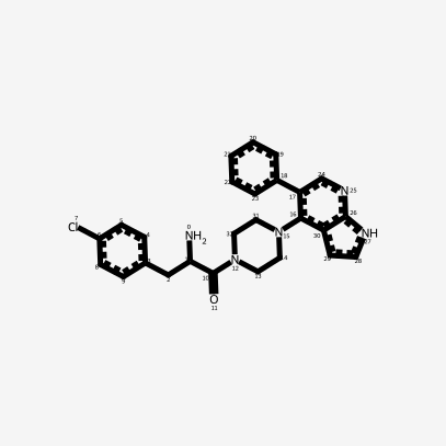 NC(Cc1ccc(Cl)cc1)C(=O)N1CCN(c2c(-c3ccccc3)cnc3[nH]ccc23)CC1